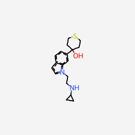 OC1(c2ccc3ccn(CCNC4CC4)c3c2)CCSCC1